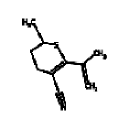 C=C(C)C1=C(C#N)CCC(C)S1